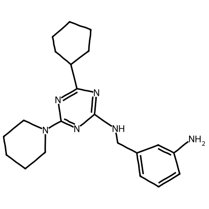 Nc1cccc(CNc2nc(C3CCCCC3)nc(N3CCCCC3)n2)c1